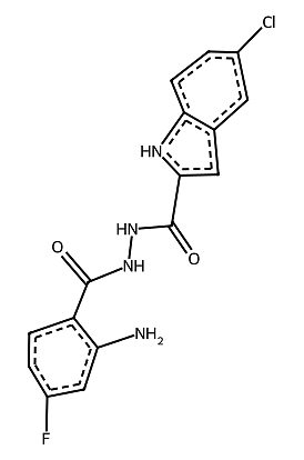 Nc1cc(F)ccc1C(=O)NNC(=O)c1cc2cc(Cl)ccc2[nH]1